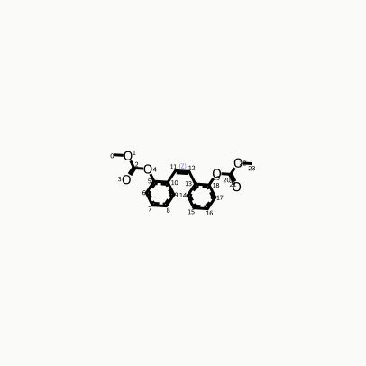 COC(=O)Oc1ccccc1/C=C\c1ccccc1OC(=O)OC